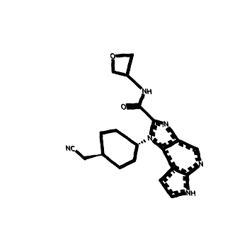 N#CC[C@H]1CC[C@H](n2c(C(=O)NC3COC3)nc3cnc4[nH]ccc4c32)CC1